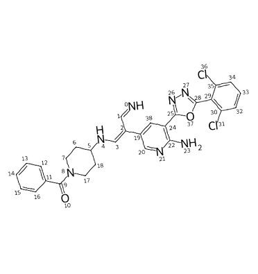 N=C/C(=C\NC1CCN(C(=O)c2ccccc2)CC1)c1cnc(N)c(-c2nnc(-c3c(Cl)cccc3Cl)o2)c1